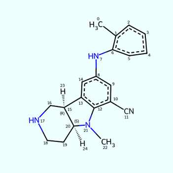 Cc1ccccc1Nc1cc(C#N)c2c(c1)[C@@H]1CNCC[C@@H]1N2C